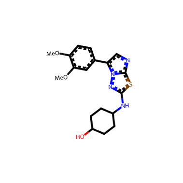 COc1ccc(-c2cnc3sc(NC4CCC(O)CC4)nn23)cc1OC